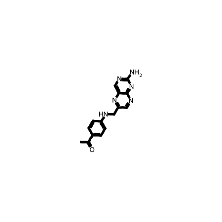 CC(=O)c1ccc(NCc2cnc3nc(N)ncc3n2)cc1